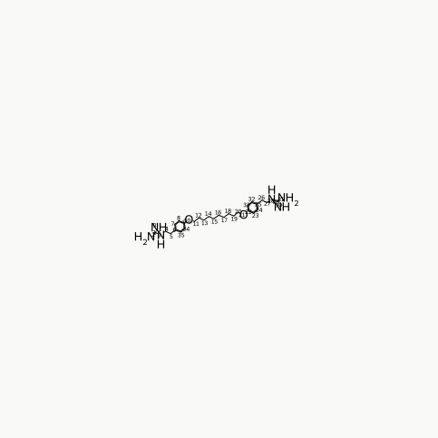 N=C(N)NCCc1ccc(OCCCCCCCCCCOc2ccc(CCNC(=N)N)cc2)cc1